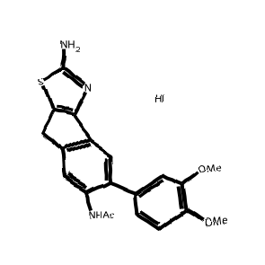 COc1ccc(-c2cc3c(cc2NC(C)=O)Cc2sc(N)nc2-3)cc1OC.I